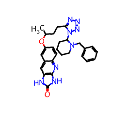 CC(CCc1nnnn1C1CCCCN1Cc1ccccc1)Oc1ccc2nc3[nH]c(=O)[nH]c3cc2c1